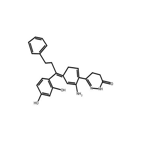 NC1=CC(=C(CCc2ccccc2)c2ccc(O)cc2O)CC=C1C1=NNC(=O)CC1